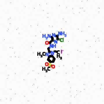 CCn1c(CNC(=O)c2nc(Cl)c(N)nc2N)[n+](C)c2cc(S(C)(=O)=O)ccc21.[I-]